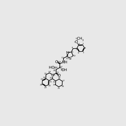 COc1ccccc1CC1CSC(CNC(=O)[C@H](O)[C@@H](O)C(=O)N2CCc3ccccc3C2C2CCCCC2)=N1